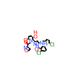 O=C(Cn1c(-c2cc(NCc3ccc(Cl)s3)n(C(=O)c3ccccc3Cl)n2)c(O)ccc1=O)c1ccon1